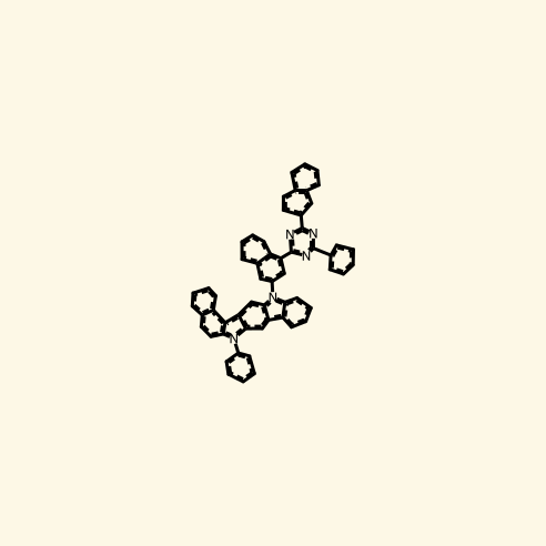 c1ccc(-c2nc(-c3ccc4ccccc4c3)nc(-c3cc(-n4c5ccccc5c5cc6c(cc54)c4c5ccccc5ccc4n6-c4ccccc4)cc4ccccc34)n2)cc1